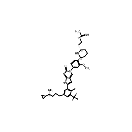 COc1cc(-n2cc3cc(-c4cc(CCC[C@@H](N)C5CC5)cc(C(F)(F)F)c4F)[nH]c3nc2=O)ccc1[C@@H]1CCC[C@@H](CCNC(C)=N)N1